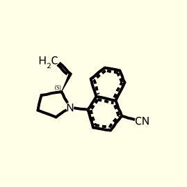 C=C[C@@H]1CCCN1c1ccc(C#N)c2ccccc12